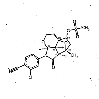 C[C@@]12C[C@@H](OS(C)(=O)=O)[C@]3(CCO[C@H]4[C@@H]3[C@@H]1C(=O)N4c1ccc(C#N)c(Cl)c1)O2